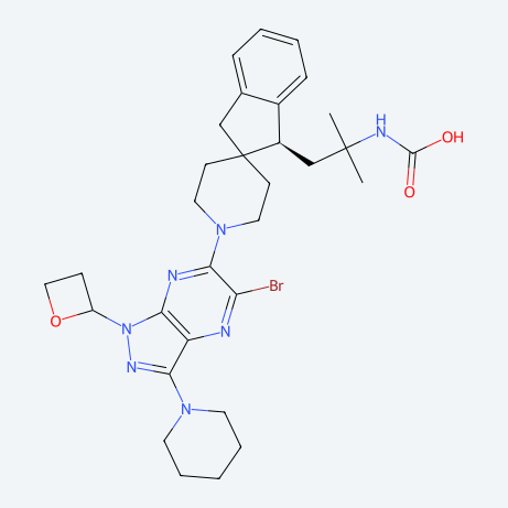 CC(C)(C[C@@H]1c2ccccc2CC12CCN(c1nc3c(nc1Br)c(N1CCCCC1)nn3C1CCO1)CC2)NC(=O)O